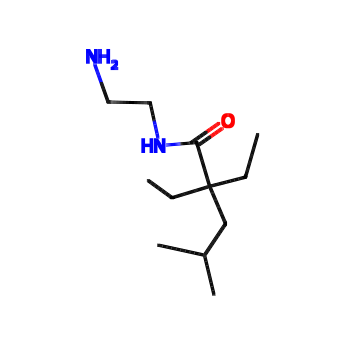 CCC(CC)(CC(C)C)C(=O)NCCN